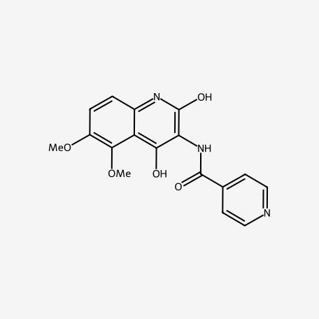 COc1ccc2nc(O)c(NC(=O)c3ccncc3)c(O)c2c1OC